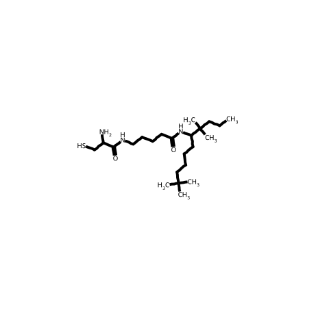 CCCC(C)(C)C(CCCCC(C)(C)C)NC(=O)CCCCNC(=O)C(N)CS